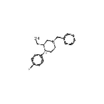 OCC1CN(Cc2ccccc2)CC[C@H]1c1ccc(F)cc1